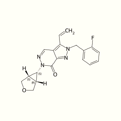 C=Cc1c2cnn([C@@H]3[C@@H]4COC[C@@H]43)c(=O)c2nn1Cc1ccccc1F